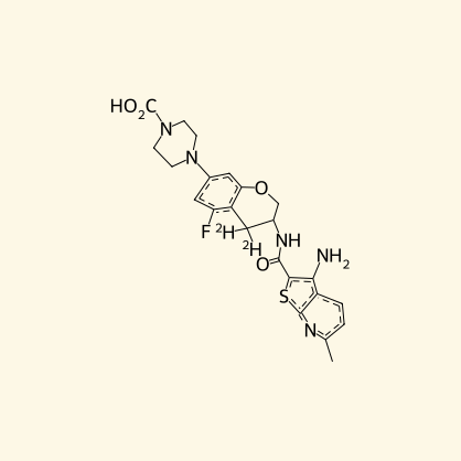 [2H]C1([2H])c2c(F)cc(N3CCN(C(=O)O)CC3)cc2OCC1NC(=O)c1sc2nc(C)ccc2c1N